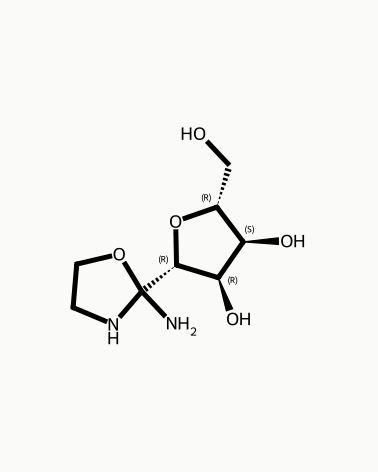 NC1([C@@H]2O[C@H](CO)[C@@H](O)[C@H]2O)NCCO1